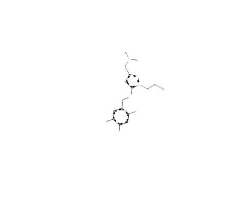 CC(C)CCn1nc(CN(C)C)cc1OCc1cc(F)c(F)cc1F